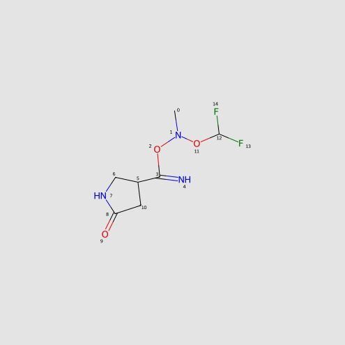 CN(OC(=N)C1CNC(=O)C1)OC(F)F